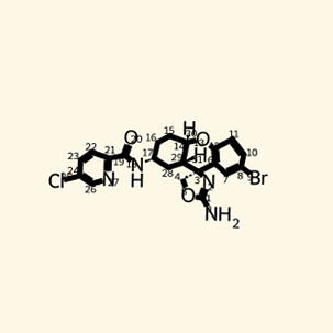 NC1=N[C@]2(CO1)c1cc(Br)ccc1O[C@@H]1CC[C@@H](NC(=O)c3ccc(Cl)cn3)C[C@H]12